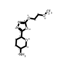 NC1CCC(c2nnc(OCCOC(F)(F)F)o2)OC1